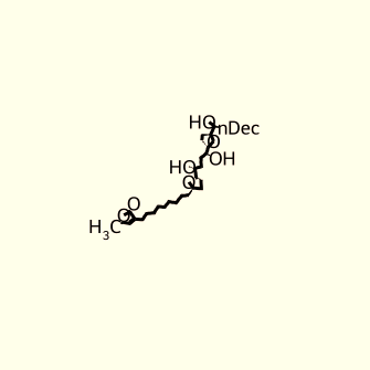 CCCCCCCCCC[C@H](O)[C@@H]1CC[C@@H]([C@H](O)CC[C@@H](O)[C@@H]2CC[C@@H](CCCCCCCCCC3=C[C@@H](C)OC3=O)O2)O1